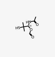 CC(=O)N[C@@H](OC=O)C(C)(C)S